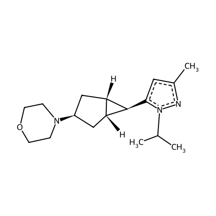 Cc1cc([C@H]2[C@@H]3C[C@@H](N4CCOCC4)C[C@@H]32)n(C(C)C)n1